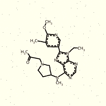 CCn1c(-c2cnc(OC)c(C)c2)nc2c(N(C)C3CCN(CC(C)=O)C3)ncnc21